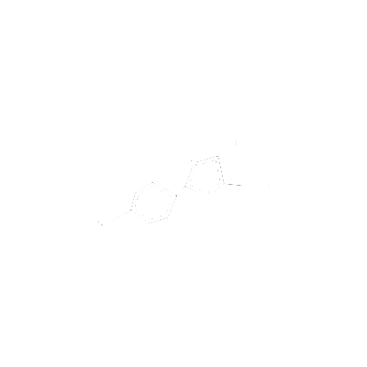 Cc1nc(-c2ccc(C#N)cc2)sc1C(=O)O